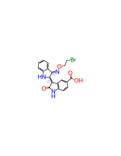 O=C1Nc2ccc(C(=O)O)cc2/C1=C1/Nc2ccccc2/C1=N\OCCBr